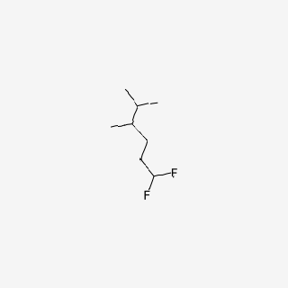 CC(C)C(C)CCC(F)F